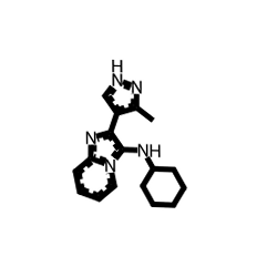 Cc1n[nH]cc1-c1nc2ccccn2c1NC1CCCCC1